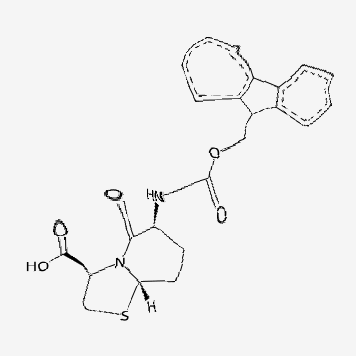 O=C(N[C@H]1CC[C@@H]2SC[C@@H](C(=O)O)N2C1=O)OCC1c2ccccc2-c2ccccc21